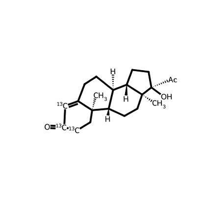 CC(=O)[C@@]1(O)CC[C@H]2[C@@H]3CCC4=[13CH][13C](=O)[13CH2]C[C@]4(C)[C@H]3CC[C@@]21C